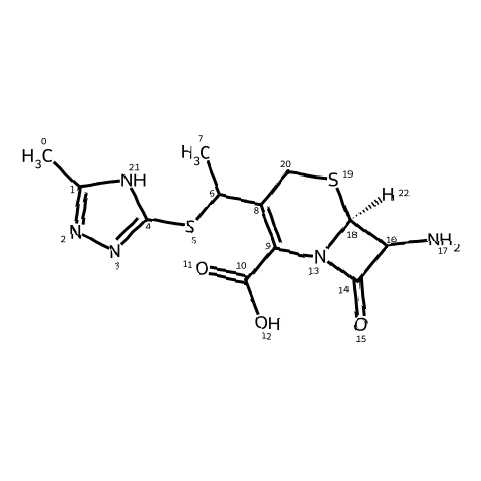 Cc1nnc(SC(C)C2=C(C(=O)O)N3C(=O)C(N)[C@@H]3SC2)[nH]1